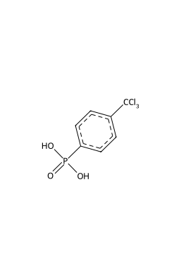 O=P(O)(O)c1ccc(C(Cl)(Cl)Cl)cc1